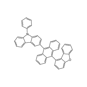 c1ccc(-n2c3ccccc3c3cc(-c4c5ccccc5c(-c5cccc6oc7ccccc7c56)c5ccccc45)ccc32)cc1